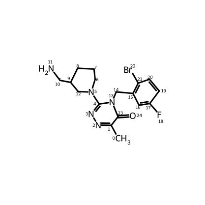 Cc1nnc(N2CCCC([CH]N)C2)n(Cc2cc(F)ccc2Br)c1=O